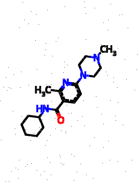 Cc1nc(N2CCN(C)CC2)ccc1C(=O)NC1CCCCC1